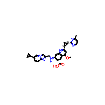 COc1cc([C@H]2C[C@@H]2c2nccc(C)n2)nc2cc(NCc3cn4cc(C5CC5)ccc4n3)ccc12.O=CO